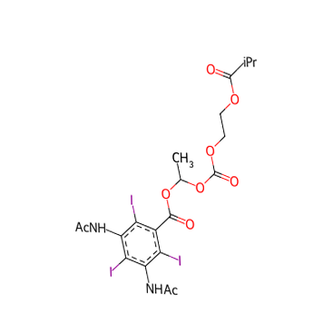 CC(=O)Nc1c(I)c(NC(C)=O)c(I)c(C(=O)OC(C)OC(=O)OCCOC(=O)C(C)C)c1I